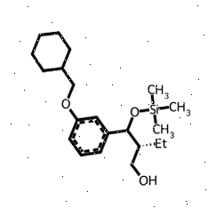 CC[C@H](CO)C(O[Si](C)(C)C)c1cccc(OCC2CCCCC2)c1